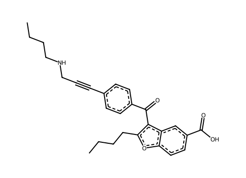 CCCCNCC#Cc1ccc(C(=O)c2c(CCCC)oc3ccc(C(=O)O)cc23)cc1